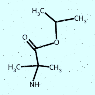 CC(C)OC(=O)C(C)(C)[NH]